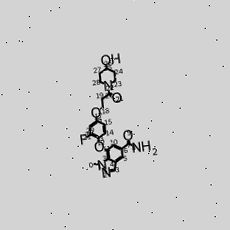 Cn1ncc2cc(C(N)=O)cc(Oc3ccc(OCCC(=O)N4CCC(O)CC4)cc3F)c21